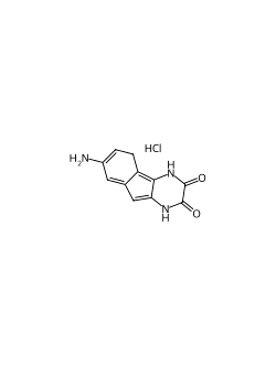 Cl.NC1=CCC2=c3[nH]c(=O)c(=O)[nH]c3=CC2=C1